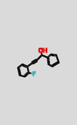 OC(C#Cc1ccccc1F)c1ccccc1